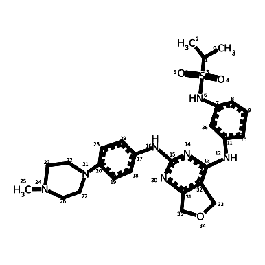 CC(C)S(=O)(=O)Nc1cccc(Nc2nc(Nc3ccc(N4CCN(C)CC4)cc3)nc3c2COC3)c1